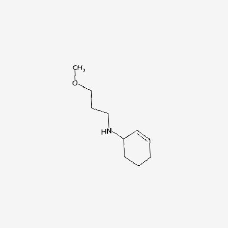 COCCCNC1C=CCCC1